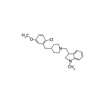 COc1ccc(Cl)c(CC2CCN(CC3CN(C)c4ccccc43)CC2)c1